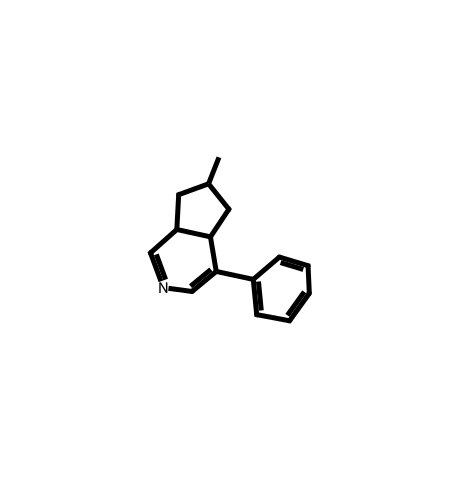 CC1CC2C=NC=C(c3ccccc3)C2C1